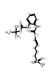 CC(C)(C)OC(=O)Nc1ccccc1NC(=O)CC=CCCCS(=O)(=O)O